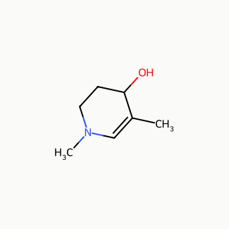 CC1=CN(C)CCC1O